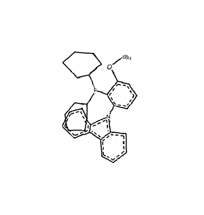 CC(C)(C)Oc1cccc(-n2c3ccccc3c3ccccc32)c1P(C1CCCCC1)C1CCCCC1